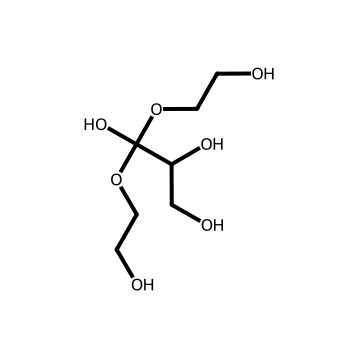 OCCOC(O)(OCCO)C(O)CO